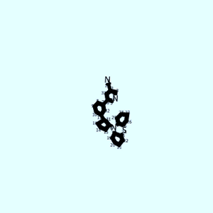 N#Cc1cncc(-c2cccc(-c3cccc(N4c5ccccc5Sc5ccccc54)c3)c2)c1